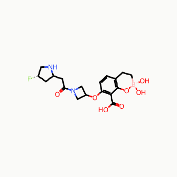 O=C(O)c1c(OC2CN(C(=O)CC3C[C@H](F)CN3)C2)ccc2c1O[B-](O)(O)CC2